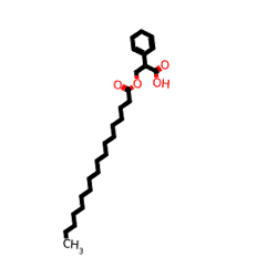 CCCCCCCCCCCCCCCCCC(=O)OCC(C(=O)O)C1=CCCC=C1